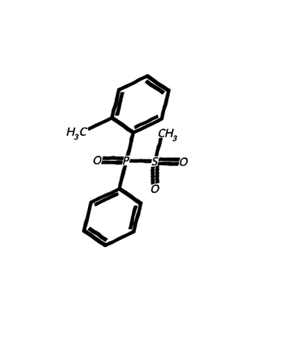 Cc1ccccc1P(=O)(c1ccccc1)S(C)(=O)=O